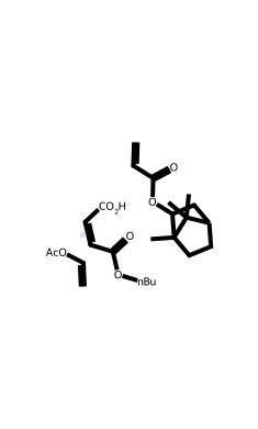 C=CC(=O)OC1CC2CCC1(C)C2(C)C.C=COC(C)=O.CCCCOC(=O)/C=C\C(=O)O